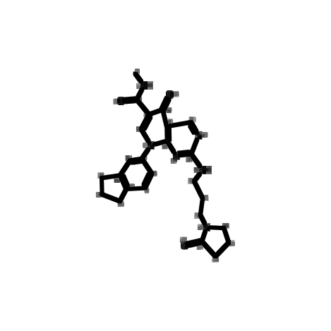 CNC(=O)c1cn(-c2ccc3c(c2)CCC3)c2nc(NCCCN3CCCC3=O)ncc2c1=O